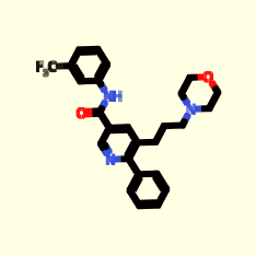 O=C(Nc1cccc(C(F)(F)F)c1)c1cnc(-c2ccccc2)c(CCCN2CCOCC2)c1